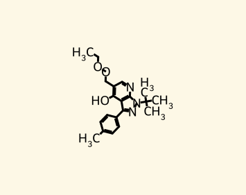 CCOOCc1cnc2c(c(-c3ccc(C)cc3)nn2C(C)(C)C)c1O